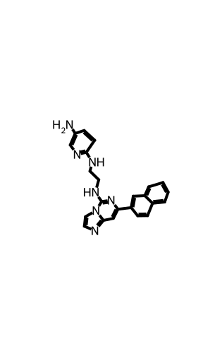 Nc1ccc(NCCNc2nc(-c3ccc4ccccc4c3)cc3nccn23)nc1